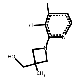 CC1(CO)CN(c2nccc(I)c2Cl)C1